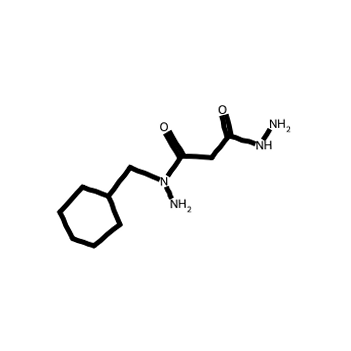 NNC(=O)CC(=O)N(N)CC1CCCCC1